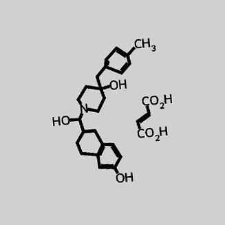 Cc1ccc(CC2(O)CCN(C(O)C3CCc4cc(O)ccc4C3)CC2)cc1.O=C(O)C=CC(=O)O